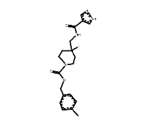 Cc1ccc(COC(=O)N2CCC(F)(CNC(=O)c3cn[nH]c3)CC2)cc1